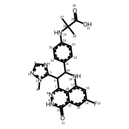 Cn1ncnc1C1c2n[nH]c(=O)c3cc(F)cc(c23)NC1c1ccc(NC(C)(C)C(=O)O)cc1